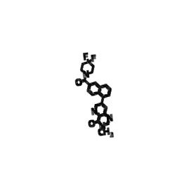 Cn1cnc2cc(-c3cccc4cc(C(=O)N5CCC(F)(F)CC5)ccc34)cnc2c1=O